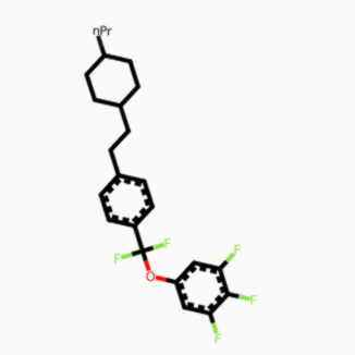 CCCC1CCC(CCc2ccc(C(F)(F)Oc3cc(F)c(F)c(F)c3)cc2)CC1